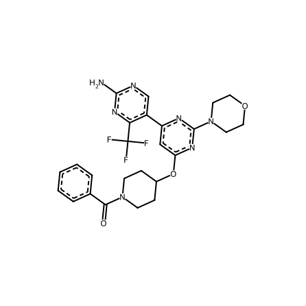 Nc1ncc(-c2cc(OC3CCN(C(=O)c4ccccc4)CC3)nc(N3CCOCC3)n2)c(C(F)(F)F)n1